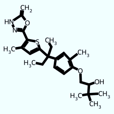 C=C1NN=C(c2sc(C(CC)(CC)c3ccc(OCC(O)C(C)(C)C)c(C)c3)cc2C)O1